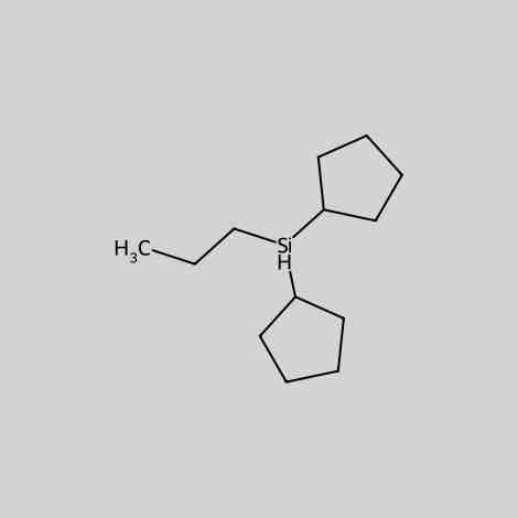 CCC[SiH](C1CCCC1)C1CCCC1